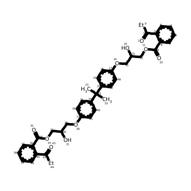 CCC(=O)c1ccccc1C(=O)OCC(O)COc1ccc(C(C)(C)c2ccc(OCC(O)COC(=O)c3ccccc3C(=O)CC)cc2)cc1